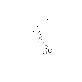 COc1ccc(CC2(C)CN(C(=O)CN3CCC(c4ccccc4)(c4ccccc4)C3=O)CCN2)cc1OC